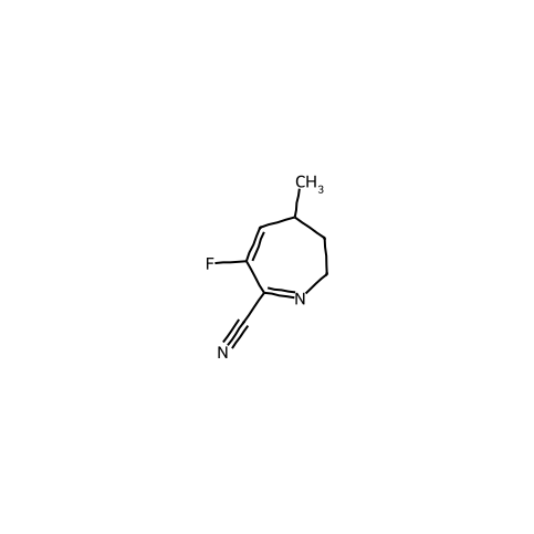 CC1C=C(F)C(C#N)=NCC1